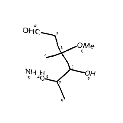 COC(C)(CC=O)C(O)C(C)O.N